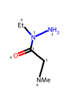 CCN(N)C(=O)CNC